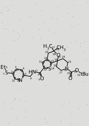 CCSc1ccc(CNC(=O)c2cc3c(s2)C2(CCN(C(=O)OC(C)(C)C)CC2)OC(C)(C)C3)nc1